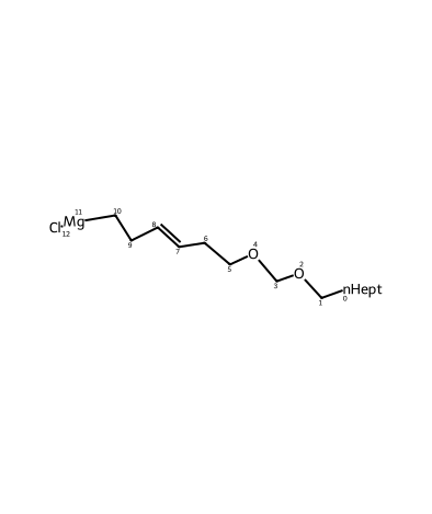 CCCCCCCCOCOCC/C=C/C[CH2][Mg][Cl]